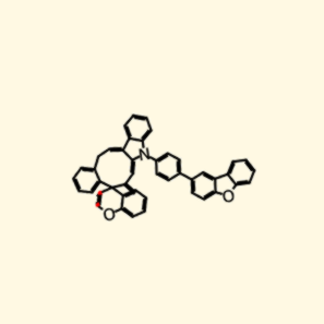 C=C1/C=c2\c(c3ccccc3n2-c2ccc(-c3ccc4oc5ccccc5c4c3)cc2)=C/Cc2ccccc2C12c1ccccc1Oc1ccccc12